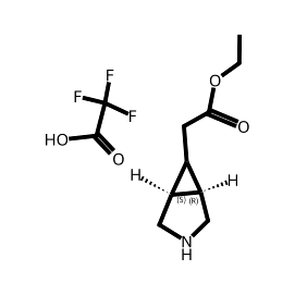 CCOC(=O)CC1[C@H]2CNC[C@@H]12.O=C(O)C(F)(F)F